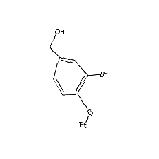 CCOc1ccc(CO)cc1Br